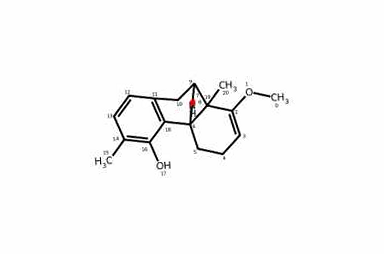 COC1=CCCC23CNC(Cc4ccc(C)c(O)c42)C13C